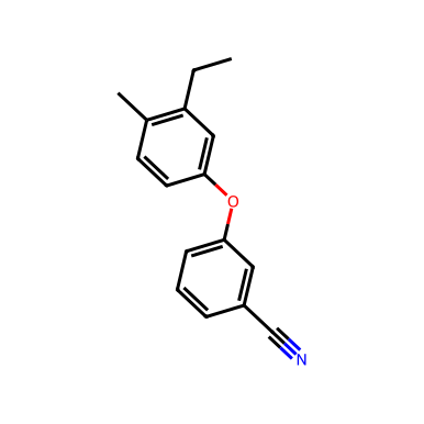 CCc1cc(Oc2cccc(C#N)c2)ccc1C